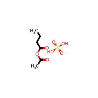 CCCC(=O)OC(C)=O.O=S(=O)(O)O